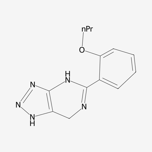 CCCOc1ccccc1C1=NCc2[nH]nnc2N1